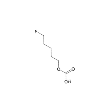 O=C(O)OCCCCCF